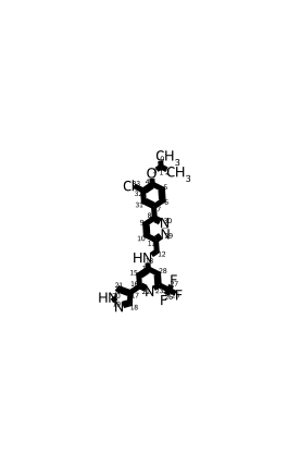 CC(C)Oc1ccc(-c2ccc(CNc3cc(-c4cn[nH]c4)nc(C(F)(F)F)c3)nn2)cc1Cl